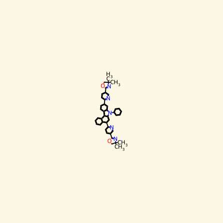 CC1(C)COC(c2ccc(-c3ccc4c5c6ccccc6c(-c6ccc(C7=NC(C)(C)CO7)cn6)cc5n(-c5ccccc5)c4c3)nc2)=N1